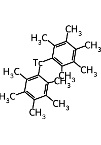 Cc1c(C)c(C)[c]([Tc][c]2c(C)c(C)c(C)c(C)c2C)c(C)c1C